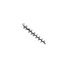 C[CH]CCCCCCCCCC/C=C/CCCC